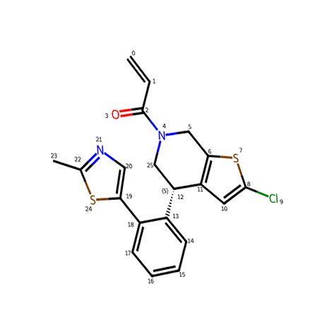 C=CC(=O)N1Cc2sc(Cl)cc2[C@H](c2ccccc2-c2cnc(C)s2)C1